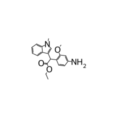 CCOC(=O)C(c1ccc(N)cc1OC)c1cn(C)c2ccccc12